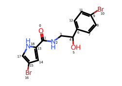 O=C(NCC(O)c1ccc(Br)cc1)c1cc(Br)c[nH]1